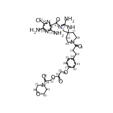 CC1(N/C(N)=N/C(=O)c2nc(Cl)c(N)nc2N)CCN(C(=O)CCc2ccc(OCC(=O)OCC(=O)N3CCOCC3)cc2)CC1